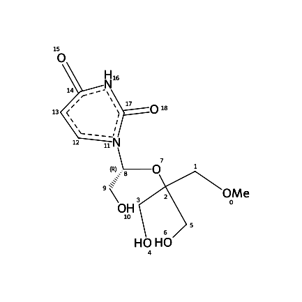 COCC(CO)(CO)O[C@H](CO)n1ccc(=O)[nH]c1=O